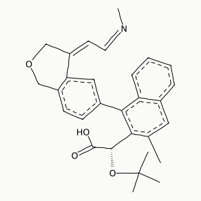 C/N=C\C=C1\COCc2ccc(-c3c([C@H](OC(C)(C)C)C(=O)O)c(C)cc4ccccc34)cc21